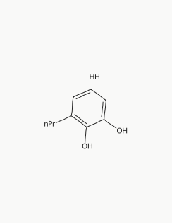 CCCc1cccc(O)c1O.[HH]